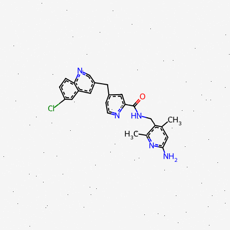 Cc1cc(N)nc(C)c1CNC(=O)c1cc(Cc2cnc3ccc(Cl)cc3c2)ccn1